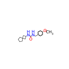 COc1ccc(CNC(=O)NC2CC3(CCCC3)C2)cc1